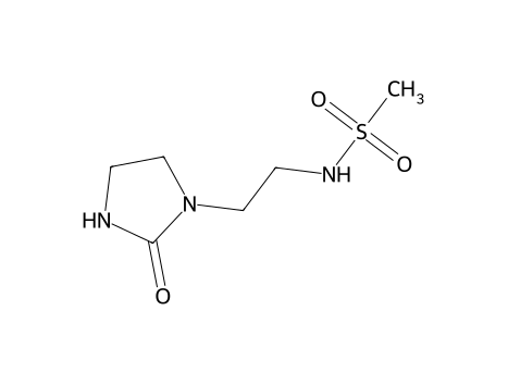 CS(=O)(=O)NCCN1CCNC1=O